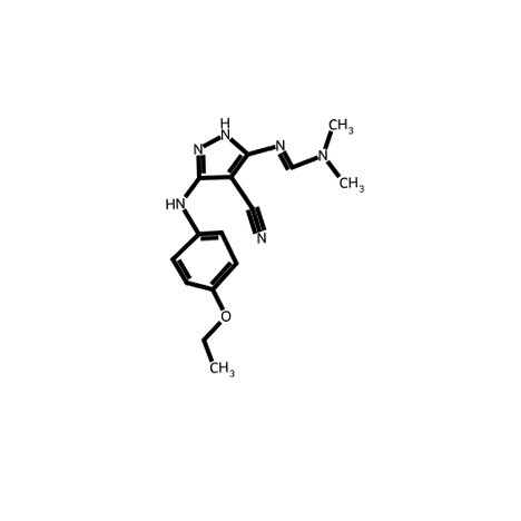 CCOc1ccc(Nc2n[nH]c(N=CN(C)C)c2C#N)cc1